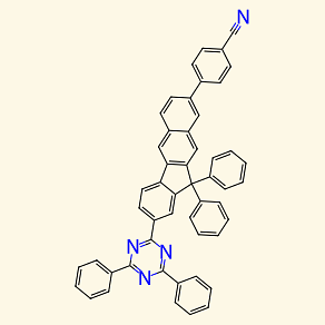 N#Cc1ccc(-c2ccc3cc4c(cc3c2)C(c2ccccc2)(c2ccccc2)c2cc(-c3nc(-c5ccccc5)nc(-c5ccccc5)n3)ccc2-4)cc1